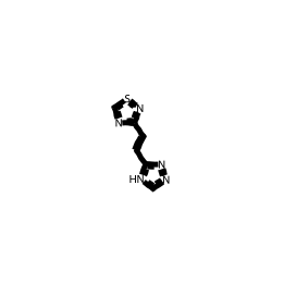 C(=C\c1nnc[nH]1)/c1ncsn1